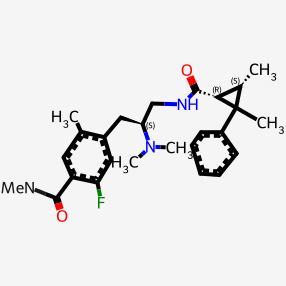 CNC(=O)c1cc(C)c(C[C@@H](CNC(=O)[C@@H]2[C@H](C)C2(C)c2ccccc2)N(C)C)cc1F